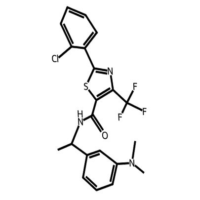 CC(NC(=O)c1sc(-c2ccccc2Cl)nc1C(F)(F)F)c1cccc(N(C)C)c1